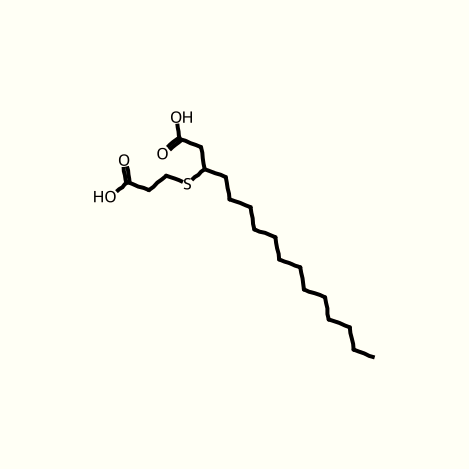 CCCCCCCCCCCCCC(CC(=O)O)SCCC(=O)O